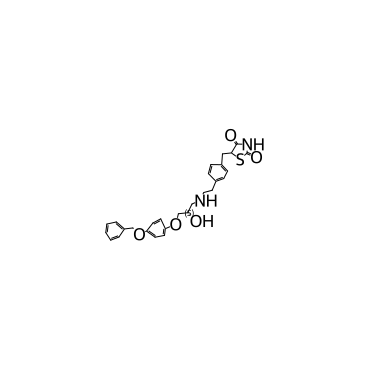 O=C1NC(=O)C(Cc2ccc(CCNC[C@H](O)COc3ccc(OCc4ccccc4)cc3)cc2)S1